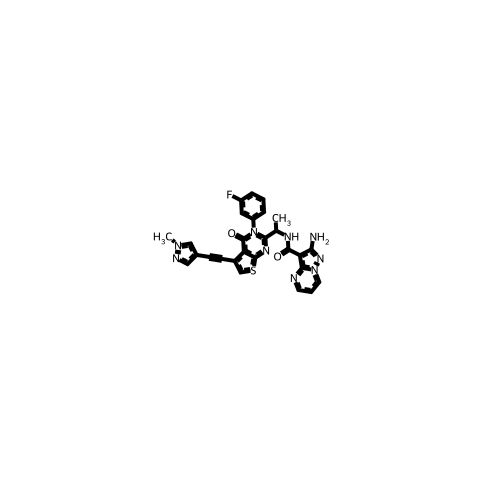 CC(NC(=O)c1c(N)nn2cccnc12)c1nc2scc(C#Cc3cnn(C)c3)c2c(=O)n1-c1cccc(F)c1